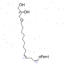 CCCCC/C=C\C/C=C\CCCCCCCCOC[C@H](O)CO